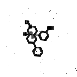 CCN1CC[C@@]2(c3cccc(O)c3)CC(c3ccccc3)=CC[C@@H]2C1